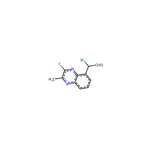 Cc1nc2cccc(C(Br)C=O)c2nc1F